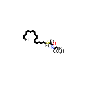 CC/C=C\C/C=C\C/C=C\C/C=C\C/C=C\CCCCSC(CC)(CC)C(=O)NC(CC(C)C)C(=O)O